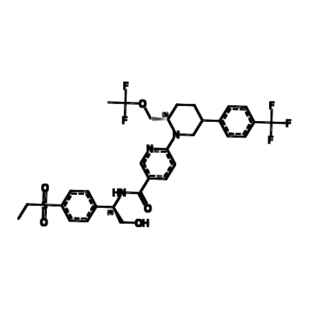 CCS(=O)(=O)c1ccc([C@H](CO)NC(=O)c2ccc(N3CC(c4ccc(C(F)(F)F)cc4)CC[C@H]3COC(C)(F)F)nc2)cc1